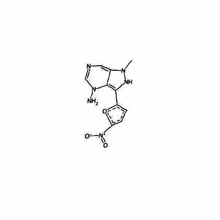 CN1NC(c2ccc([N+](=O)[O-])o2)=C2C1=CN=CN2N